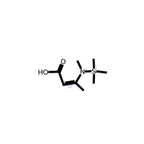 C/C(=C/C(=O)O)N(C)[Si](C)(C)C